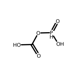 O=C(O)O[PH](=O)O